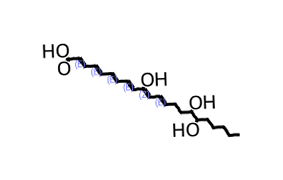 CCCCCC(O)C(O)CC/C=C/C=C(O)/C=C/C=C/C=C/C=C/C(=O)O